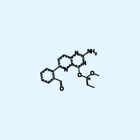 CC[C@H](OC)Oc1nc(N)nc2ccc(-c3ccccc3C=O)nc12